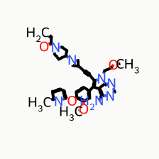 C=CC(=O)N1CCC(N2CC(C#Cc3c(-c4ccc(Oc5cccc(C)n5)c(OC)c4)c4c(N)ncnc4n3CCOC)C2)CC1